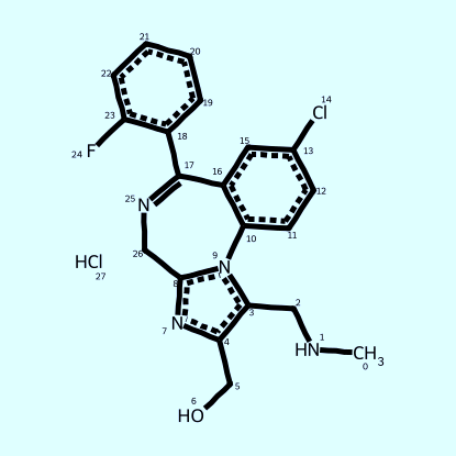 CNCc1c(CO)nc2n1-c1ccc(Cl)cc1C(c1ccccc1F)=NC2.Cl